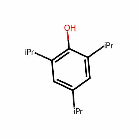 CC(C)c1cc(C(C)C)c(O)c(C(C)C)c1